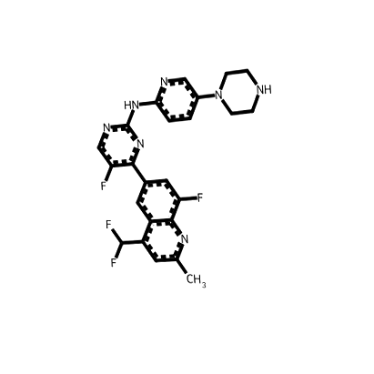 Cc1cc(C(F)F)c2cc(-c3nc(Nc4ccc(N5CCNCC5)cn4)ncc3F)cc(F)c2n1